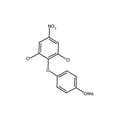 COc1ccc(Oc2c(Cl)cc([N+](=O)[O-])cc2Cl)cc1